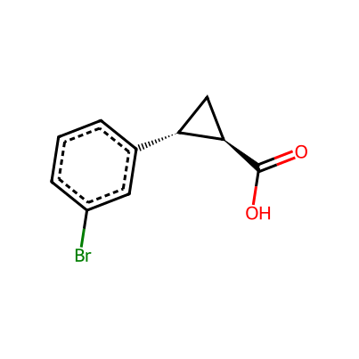 O=C(O)[C@@H]1C[C@H]1c1cccc(Br)c1